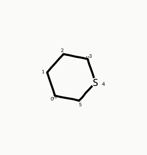 [C]1CC[C]SC1